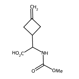 C=C1CC(C(NC(=O)OC)C(=O)O)C1